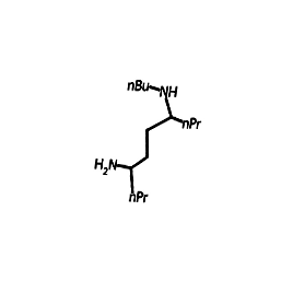 CCCCNC(CCC)CCC(N)CCC